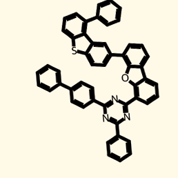 c1ccc(-c2ccc(-c3nc(-c4ccccc4)nc(-c4cccc5c4oc4c(-c6ccc7sc8cccc(-c9ccccc9)c8c7c6)cccc45)n3)cc2)cc1